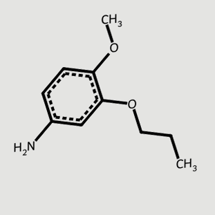 CCCOc1cc(N)ccc1OC